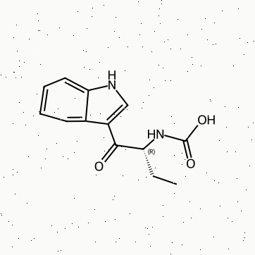 CC[C@@H](NC(=O)O)C(=O)c1c[nH]c2ccccc12